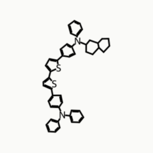 c1ccc(N(c2ccccc2)c2ccc(-c3ccc(-c4ccc(-c5ccc(N(c6ccccc6)C6CCC7CCCCC7C6)cc5)s4)s3)cc2)cc1